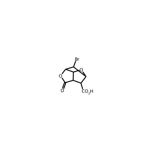 O=C(O)C1C2OC3C(OC(=O)C31)C2Br